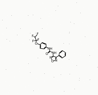 O=C(Nc1ccc(OC(F)(F)C(F)F)cc1)Nc1nonc1-c1ccccc1